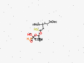 CCCCCCCCCCCCC(CCCCCCCCC)CC(S)OC(CC)OC(O)([PH2]=O)C(=O)O